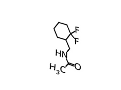 CC(=O)NCC1CCCCC1(F)F